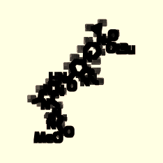 COC(=O)c1cn(Cc2nc(C)cn3cc(NC(=O)c4ccc(N5CCC(N(C(=O)OC(C)(C)C)C6CC6)CC5)c5cn(C)nc45)nc23)cn1